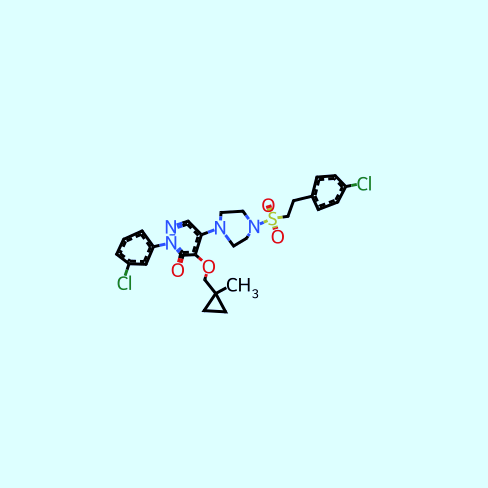 CC1(COc2c(N3CCN(S(=O)(=O)CCc4ccc(Cl)cc4)CC3)cnn(-c3cccc(Cl)c3)c2=O)CC1